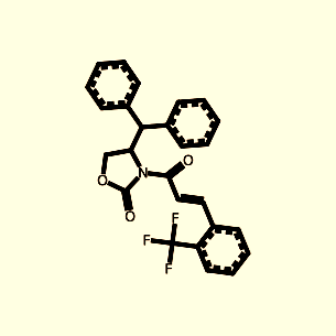 O=C(C=Cc1ccccc1C(F)(F)F)N1C(=O)OCC1C(c1ccccc1)c1ccccc1